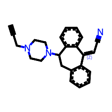 C#CCN1CCN(C2Cc3ccccc3/C(=C/C#N)c3ccccc32)CC1